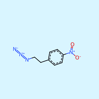 [N-]=[N+]=NCCc1ccc([N+](=O)[O-])cc1